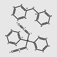 O=C=NC(N=C=O)(c1ccccc1)c1ccccc1.c1ccc(Cc2ccccc2)cc1